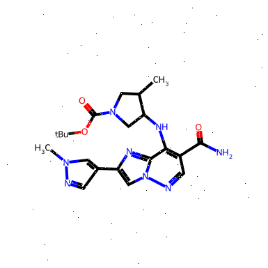 CC1CN(C(=O)OC(C)(C)C)CC1Nc1c(C(N)=O)cnn2cc(-c3cnn(C)c3)nc12